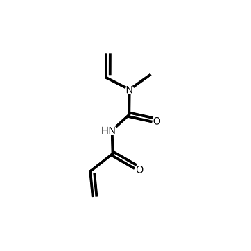 C=CC(=O)NC(=O)N(C)C=C